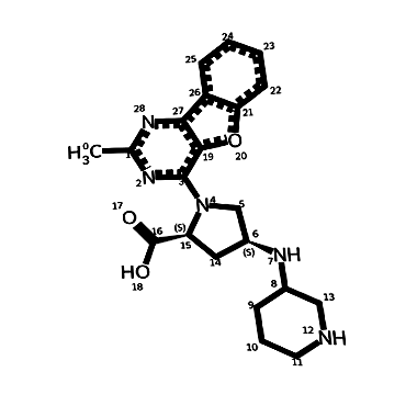 Cc1nc(N2C[C@@H](NC3CCCNC3)C[C@H]2C(=O)O)c2oc3ccccc3c2n1